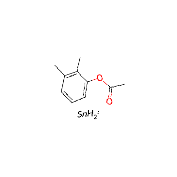 CC(=O)Oc1cccc(C)c1C.[SnH2]